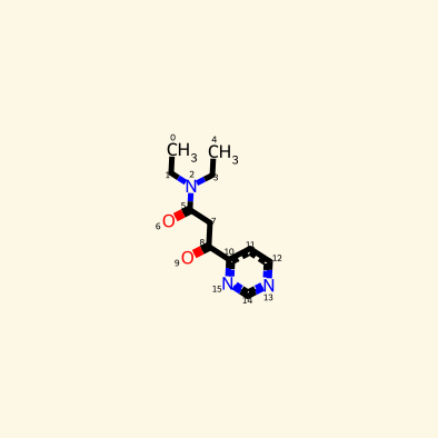 CCN(CC)C(=O)CC(=O)c1ccncn1